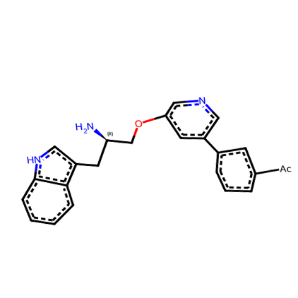 CC(=O)c1cccc(-c2cncc(OC[C@H](N)Cc3c[nH]c4ccccc34)c2)c1